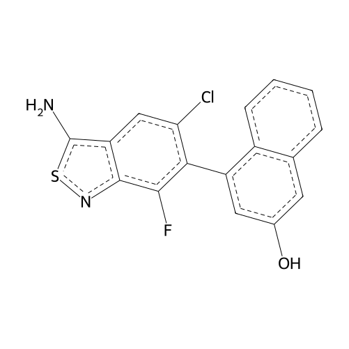 Nc1snc2c(F)c(-c3cc(O)cc4ccccc34)c(Cl)cc12